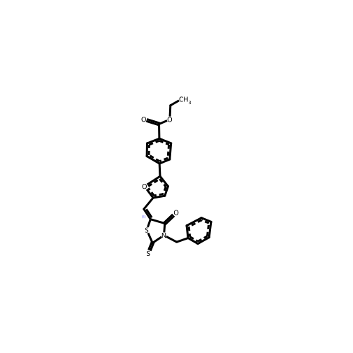 CCOC(=O)c1ccc(-c2ccc(/C=C3/SC(=S)N(Cc4ccccc4)C3=O)o2)cc1